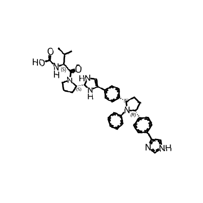 CC(C)[C@H](NC(=O)O)C(=O)N1CCC[C@H]1C1NC=C(c2ccc([C@@H]3CC[C@H](c4ccc(-c5c[nH]cn5)cc4)N3c3ccccc3)cc2)N1